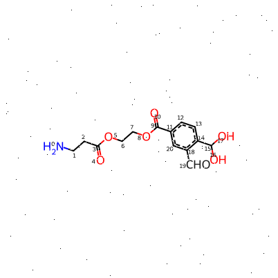 NCCC(=O)OCCOC(=O)c1ccc(C(O)O)c(C=O)c1